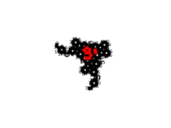 C=Cc1ccc(Oc2ccc(C3(c4ccc(F)cc4)c4ccccc4-c4ccc(N(c5ccc6c(c5)C5(c7ccccc7-6)c6ccccc6-c6ccc(N(c7ccc8c(c7)C(c7ccc(F)cc7)(c7ccc(Oc9ccc(C=C)cc9)cc7)c7ccccc7-8)c7cccc(F)c7F)cc65)c5cccc(F)c5F)cc43)cc2)cc1